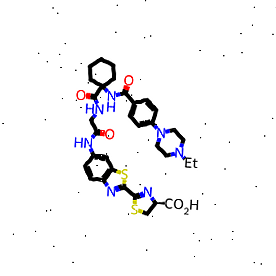 CCN1CCN(c2ccc(C(=O)NC3(C(=O)NCC(=O)Nc4ccc5nc(C6=N[C@@H](C(=O)O)CS6)sc5c4)CCCCC3)cc2)CC1